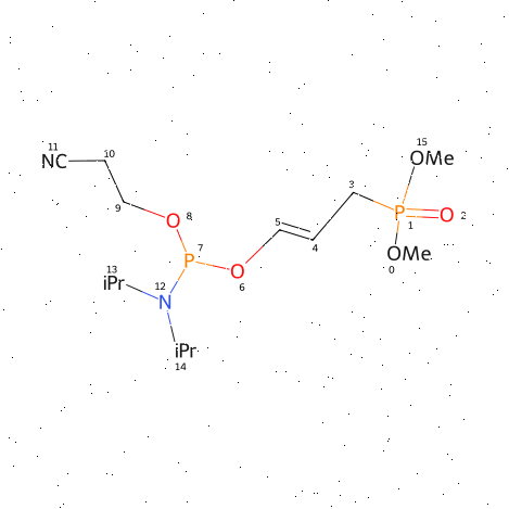 COP(=O)(C/C=C/OP(OCCC#N)N(C(C)C)C(C)C)OC